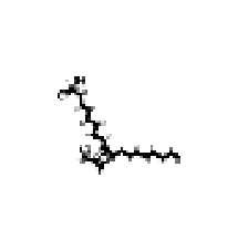 CCCCCCCC/C=C\CCCCCCCC(=O)O.ClCC1CO1